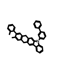 Cc1ccccc1-c1cc2c(cc1C)Cc1cc3c4ccccc4n(-c4cccc(-c5ccccc5)c4)c3cc1C2